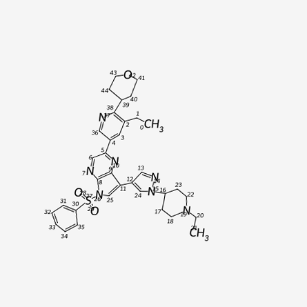 CCc1cc(-c2cnc3c(n2)c(-c2cnn(C4CCN(CC)CC4)c2)cn3S(=O)(=O)c2ccccc2)cnc1C1CCOCC1